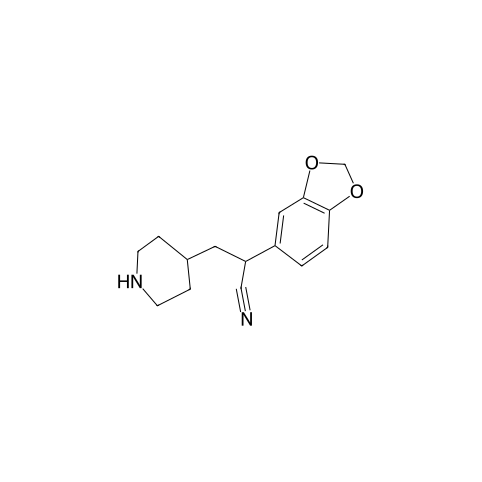 N#CC(CC1CCNCC1)c1ccc2c(c1)OCO2